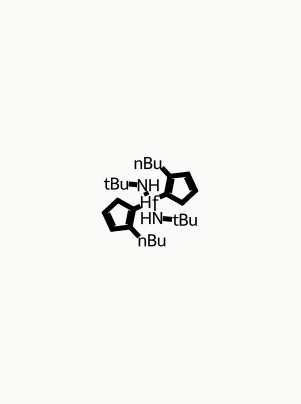 CCCCC1=[C]([Hf]([NH]C(C)(C)C)([NH]C(C)(C)C)[C]2=C(CCCC)C=CC2)CC=C1